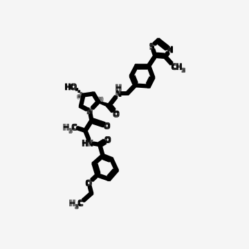 CCOc1cccc(C(=O)NC(C)C(=O)N2C[C@H](O)C[C@H]2C(=O)NCc2ccc(-c3scnc3C)cc2)c1